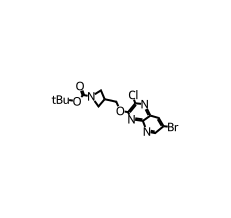 CC(C)(C)OC(=O)N1CC(COc2nc3ncc(Br)cc3nc2Cl)C1